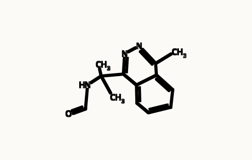 Cc1nnc(C(C)(C)NC=O)c2ccccc12